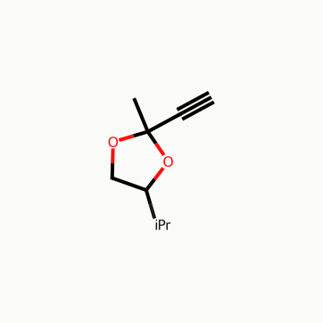 C#CC1(C)OCC(C(C)C)O1